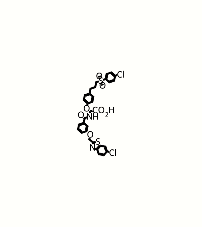 O=C(NC(Oc1ccc(CCCS(=O)(=O)c2ccc(Cl)cc2)cc1)C(=O)O)c1cccc(OCc2nc3ccc(Cl)cc3s2)c1